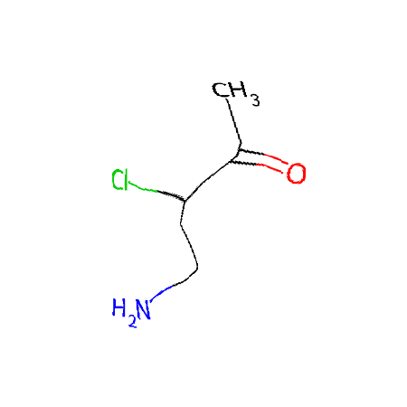 CC(=O)C(Cl)CN